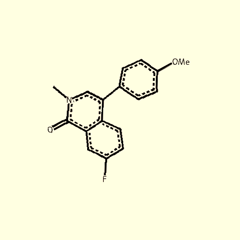 COc1ccc(-c2cn(C)c(=O)c3cc(F)ccc23)cc1